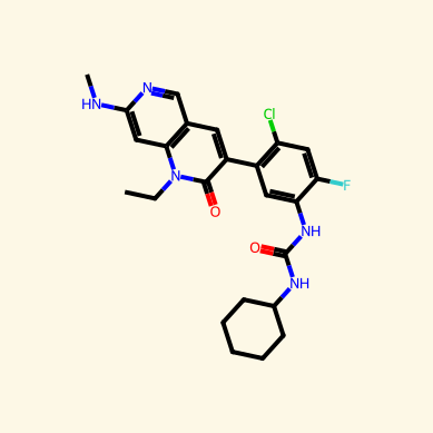 CCn1c(=O)c(-c2cc(NC(=O)NC3CCCCC3)c(F)cc2Cl)cc2cnc(NC)cc21